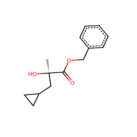 C[C@@](O)(CC1CC1)C(=O)OCc1ccccc1